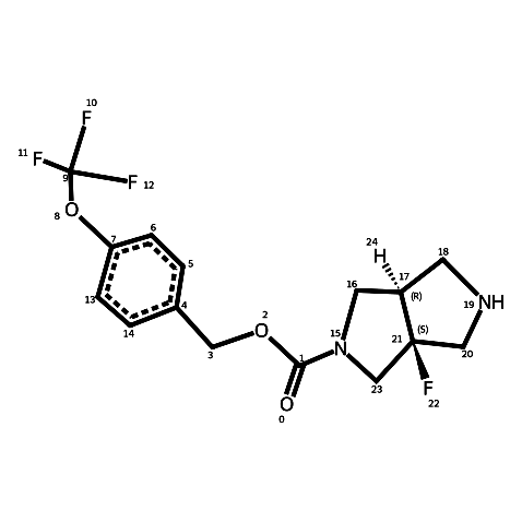 O=C(OCc1ccc(OC(F)(F)F)cc1)N1C[C@H]2CNC[C@]2(F)C1